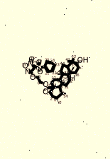 C[C@@H]1CCC2(C(=O)OCCOc3no[n+]([O-])c3S(=O)(=O)c3ccccc3)CC[C@]3(C)C(=CC[C@@H]4[C@@]5(C)CC[C@H](O)C(C)(C)C5CC[C@]43C)C2[C@H]1C